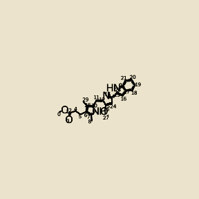 COC(=O)CCc1c(C)[nH]c(/C=C2/N=C(c3cc4ccccc4[nH]3)C=C2OC)c1C